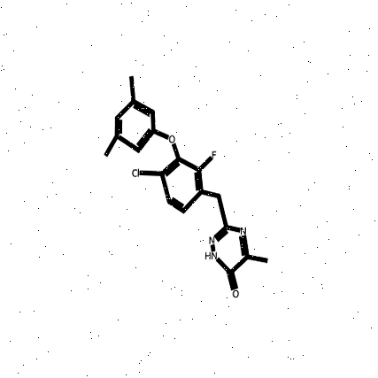 Cc1cc(C)cc(Oc2c(Cl)ccc(Cc3n[nH]c(=O)c(C)n3)c2F)c1